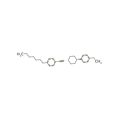 CCCCCCCc1ccc(C#C[C@H]2CC[C@H](c3ccc(CC)cc3)CC2)cc1